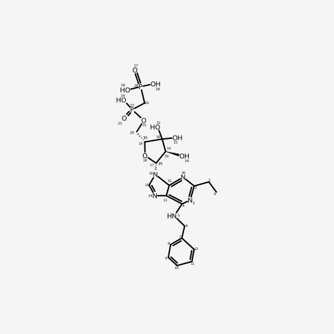 CCc1nc(NCc2ccccc2)c2ncn([C@@H]3O[C@H](COP(=O)(O)CP(=O)(O)O)C(O)(O)[C@H]3O)c2n1